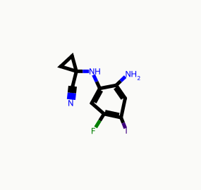 N#CC1(Nc2cc(F)c(I)cc2N)CC1